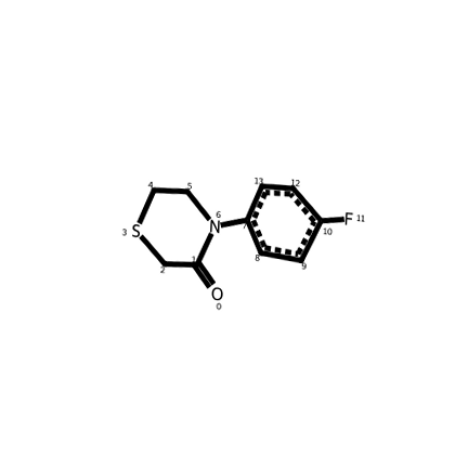 O=C1CSCCN1c1ccc(F)cc1